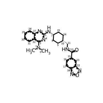 CN(C)c1nc(N[C@H]2CC[C@@H](CNC(=O)c3ccc4nonc4c3)CC2)nc2ccccc12